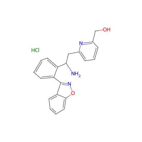 Cl.NC(Cc1cccc(CO)n1)c1ccccc1-c1noc2ccccc12